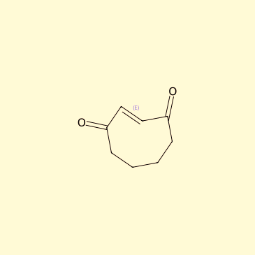 O=C1/C=C/C(=O)CCCC1